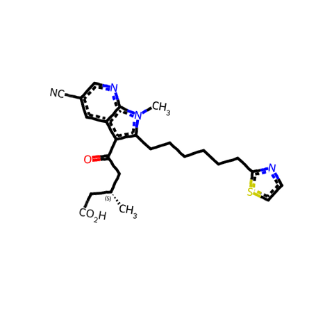 C[C@H](CC(=O)O)CC(=O)c1c(CCCCCCc2nccs2)n(C)c2ncc(C#N)cc12